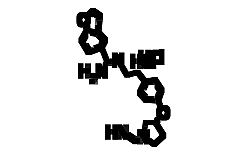 Cl.Cl.N=CN1CC[C@H](Oc2ccc(CCN=C(N)c3ccc4occc4c3)cc2)C1